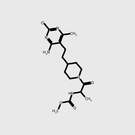 COC(=O)NC(C)C(=O)N1CCC(CCc2c(C)nc(Cl)nc2N)CC1